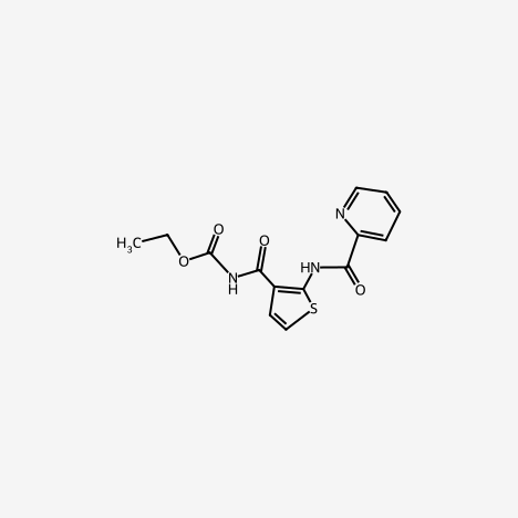 CCOC(=O)NC(=O)c1ccsc1NC(=O)c1ccccn1